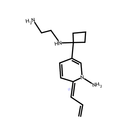 C=C/C=C1/C=CC(C2(NCCN)CCC2)=CN1N